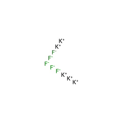 [F-].[F-].[F-].[F-].[F-].[K+].[K+].[K+].[K+].[K+]